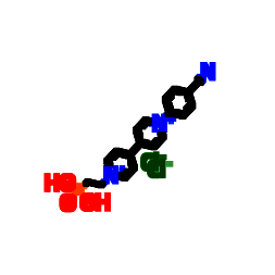 N#Cc1ccc(-[n+]2ccc(-c3cc[n+](CCP(=O)(O)O)cc3)cc2)cc1.[Cl-].[Cl-]